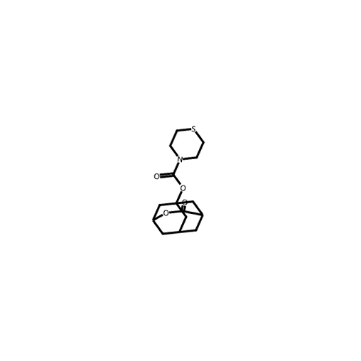 O=C1OC2CC3CC1CC(OC(=O)N1CCSCC1)(C3)C2